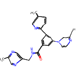 Cc1ccc(-c2cc(C(=O)NCc3cnc(C)cn3)cc(N3C=CN=C(C(C)C)C3)c2)nc1